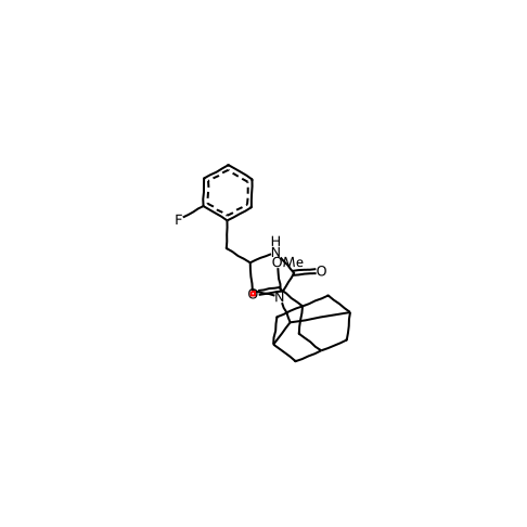 COC(=O)C12CC3CC(C1)C(N1CC(Cc4ccccc4F)NC1=O)C(C3)C2